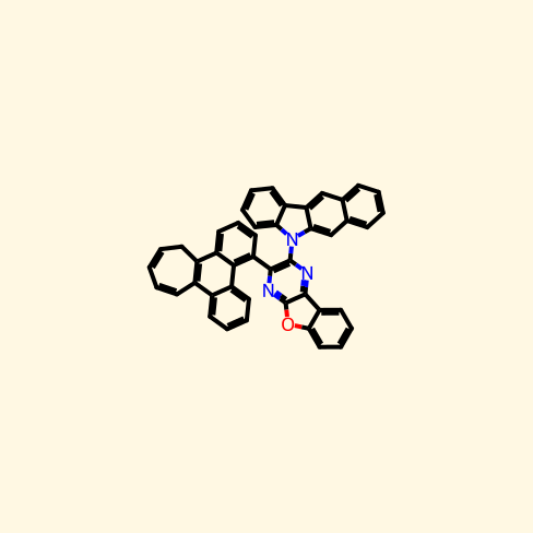 C1=CCc2c(c3ccccc3c3c(-c4nc5oc6ccccc6c5nc4-n4c5ccccc5c5cc6ccccc6cc54)cccc23)C=C1